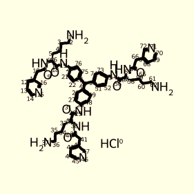 Cl.NCCCC[C@H](NC(=O)Cc1cccnc1)C(=O)Nc1ccc(C(c2ccc(NC(=O)[C@H](CCCCN)NC(=O)Cc3cccnc3)cc2)c2ccc(NC(=O)[C@H](CCCCN)NC(=O)Cc3cccnc3)cc2)cc1